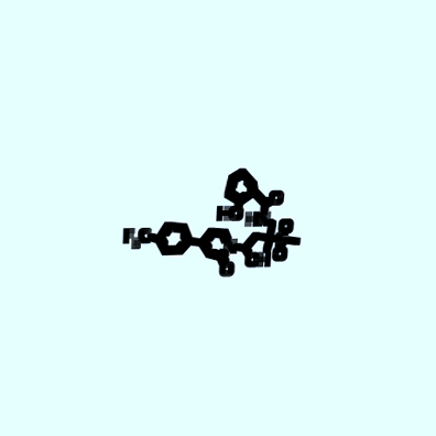 CC(CNC(=O)c1ccccc1O)(CC(O)n1ccc(-c2ccc(C(F)(F)F)cc2)cc1=O)S(C)(=O)=O